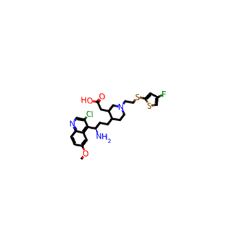 COc1ccc2ncc(Cl)c([C@H](N)CCC3CCN(CCSc4cc(F)cs4)CC3CC(=O)O)c2c1